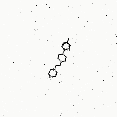 Cc1cnc(N2CCN(CCN3CCNCC3)CC2)nc1